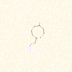 CCC1CCCC(CCN)CCC1